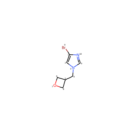 Brc1cn(CC2COC2)cn1